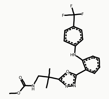 COC(=O)NCC(C)(C)c1nnc(-c2ccccc2Nc2ccc(C(F)(F)F)cc2)o1